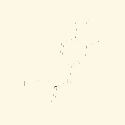 CC(C)(C)OC(=O)Nc1ccc(C=O)c(Cl)c1